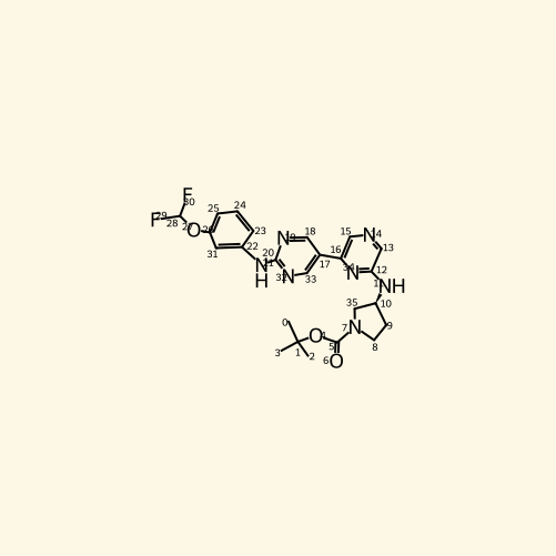 CC(C)(C)OC(=O)N1CC[C@H](Nc2cncc(-c3cnc(Nc4cccc(OC(F)F)c4)nc3)n2)C1